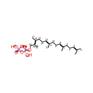 CC(C)=CCC/C(C)=C/CC/C(C)=C/CCC(C)=C(F)COP(=O)(O)OP(=O)(O)O